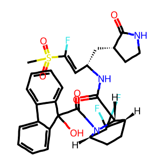 CS(=O)(=O)/C(F)=C/[C@H](C[C@H]1CCNC1=O)NC(=O)[C@@H]1[C@@H]2CC[C@@H](CC2(F)F)N1C(=O)C1(O)c2ccccc2-c2ccccc21